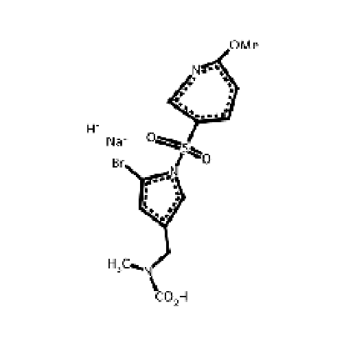 COc1ccc(S(=O)(=O)n2cc(CN(C)C(=O)O)cc2Br)cn1.[H-].[Na+]